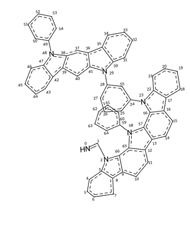 N=Cn1c2ccccc2c2ccc3c4ccc5c6ccccc6n(-c6cccc(-n7c8ccccc8c8cc9c(cc87)c7ccccc7n9-c7ccccc7)c6)c5c4n(-c4ccccc4)c3c21